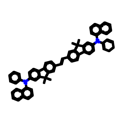 CC1(C)c2cc(/C=C/c3ccc4c(c3)C(C)(C)c3cc(N(c5ccccc5)c5cccc6ccccc56)ccc3-4)ccc2-c2ccc(N(C3=CCCC=C3)c3cccc4ccccc34)cc21